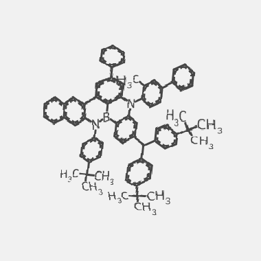 Cc1cc(-c2ccccc2)ccc1N1c2cc(C(c3ccc(C(C)(C)C)cc3)c3ccc(C(C)(C)C)cc3)ccc2B2c3c(cc(-c4ccccc4)cc31)-c1cc3ccccc3cc1N2c1ccc(C(C)(C)C)cc1